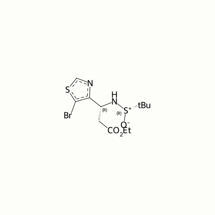 CCOC(=O)C[C@@H](N[S@@+]([O-])C(C)(C)C)c1ncsc1Br